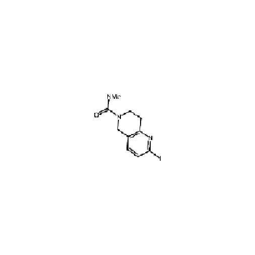 CNC(=O)N1CCc2nc(I)ccc2C1